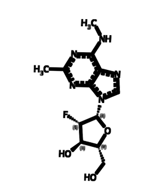 CNc1nc(C)nc2c1ncn2[C@@H]1O[C@H](CO)[C@@H](O)[C@@H]1F